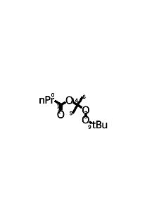 CCCC(=O)OC(C)(C)OOC(C)(C)C